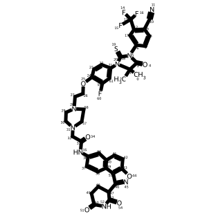 CC1(C)C(=O)N(c2ccc(C#N)c(C(F)(F)F)c2)C(=S)N1c1ccc(OCCN2CCN(CC(=O)Nc3ccc4c(ccc5onc(C6CCC(=O)NC6=O)c54)c3)CC2)c(F)c1